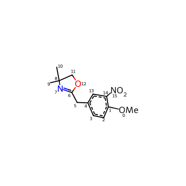 COc1ccc(CC2=NC(C)(C)CO2)cc1[N+](=O)[O-]